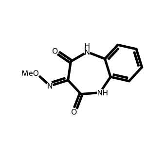 CON=c1c(=O)[nH]c2ccccc2[nH]c1=O